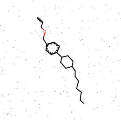 C=CCOCc1ccc(C2CCC(CCCCCCC)CC2)cc1